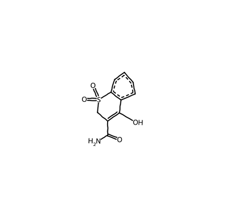 NC(=O)C1=C(O)c2ccccc2S(=O)(=O)C1